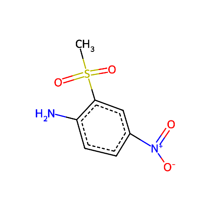 CS(=O)(=O)c1cc([N+](=O)[O-])ccc1N